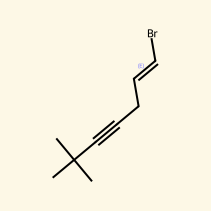 CC(C)(C)C#CC/C=C/Br